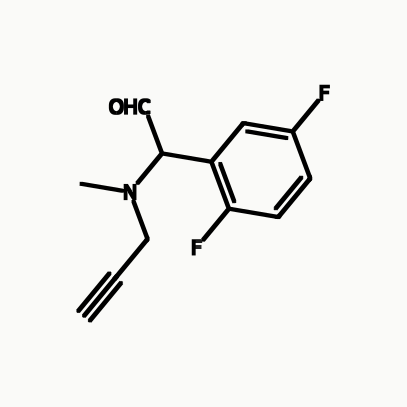 C#CCN(C)C(C=O)c1cc(F)ccc1F